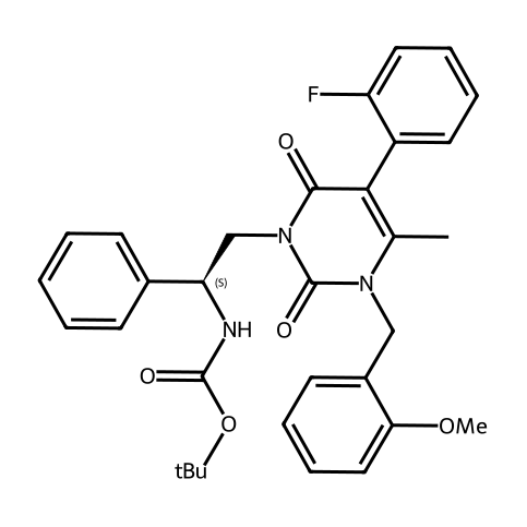 COc1ccccc1Cn1c(C)c(-c2ccccc2F)c(=O)n(C[C@@H](NC(=O)OC(C)(C)C)c2ccccc2)c1=O